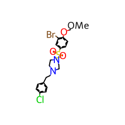 COCOc1ccc(S(=O)(=O)N2CCN(CCc3ccc(Cl)cc3)CC2)cc1Br